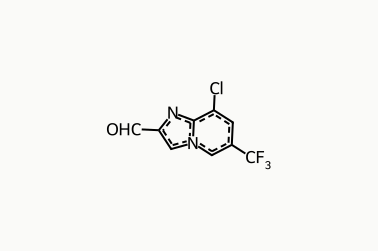 O=Cc1cn2cc(C(F)(F)F)cc(Cl)c2n1